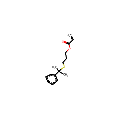 C=CC(=O)OCCCSC(C)(C)c1ccccc1